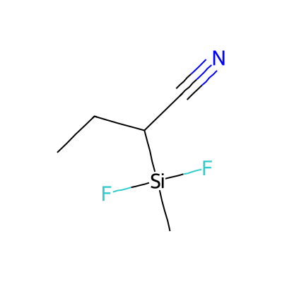 CCC(C#N)[Si](C)(F)F